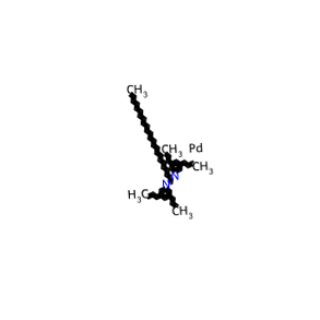 CCCCCCCCCCCCCCCCCCCCCCCCC(/C=N/c1cc(CCCC)cc(CCCC)c1)=N\c1cc(CCCC)cc(CCCC)c1.[Pd]